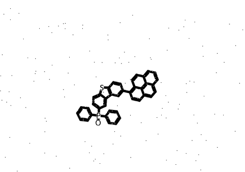 O=P(c1ccccc1)(c1ccccc1)c1ccc2sc3ccc(-c4ccc5ccc6cccc7ccc4c5c67)cc3c2c1